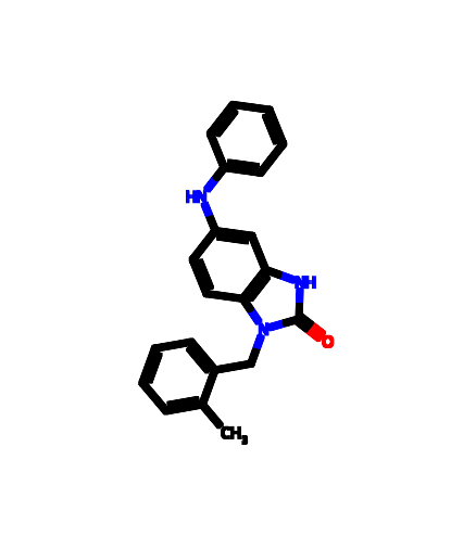 Cc1ccccc1Cn1c(=O)[nH]c2cc(Nc3ccccc3)ccc21